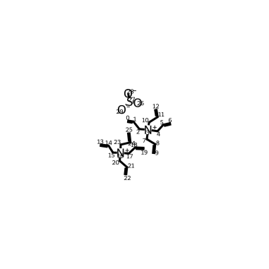 C=CC[N+](CC=C)(CC=C)CC=C.C=CC[N+](CC=C)(CC=C)CC=C.O=S([O-])[O-]